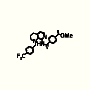 C=C(OC)c1ccc([C@@H](C)Nc2nccc3c2N(Cc2ccc(C(F)(F)F)cc2)CCC3)cc1